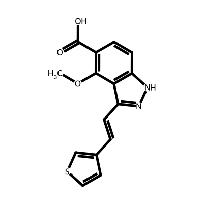 COc1c(C(=O)O)ccc2[nH]nc(/C=C/c3ccsc3)c12